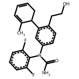 CC1=CC=CCC1c1cc(N(C(N)=O)c2c(F)cccc2F)ccc1CCO